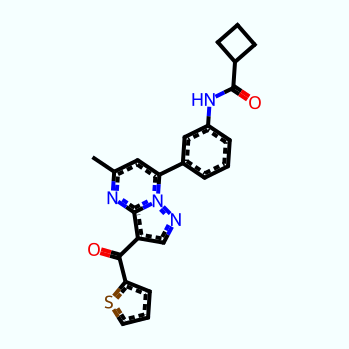 Cc1cc(-c2cccc(NC(=O)C3CCC3)c2)n2ncc(C(=O)c3cccs3)c2n1